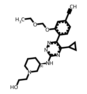 C#Cc1ccc(-c2nnc(N[C@@H]3CCCN(CCO)C3)nc2C2CC2)c(OCOCC)c1